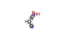 O=C(O)N1CC2C=C(c3cc(F)cc(-c4ccncc4)c3)CC(C2)C1